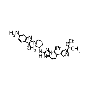 CCOC(C)n1cc(-c2ccc3nc(NC4CCCN(c5nc6cc(N)ccc6n5C)C4)nn3c2C(C)C)cn1